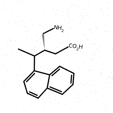 CC(c1cccc2ccccc12)[C@H](CN)CC(=O)O